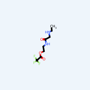 CCNCC(=O)NCCOC(=O)C(F)(F)F